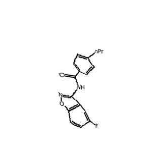 CCCc1ccc(C(=O)Nc2noc3ccc(F)cc23)cc1